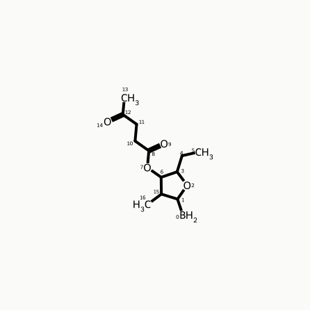 BC1OC(CC)C(OC(=O)CCC(C)=O)C1C